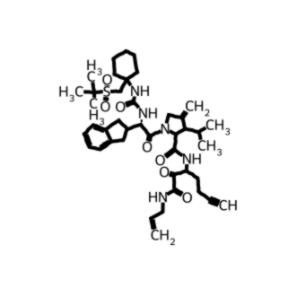 C#CCCC(NC(=O)C1C(C(C)C)C(=C)CN1C(=O)[C@@H](NC(=O)NC1(CS(=O)(=O)C(C)(C)C)CCCCC1)C1Cc2ccccc2C1)C(=O)C(=O)NCC=C